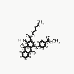 CCCCCOC(=O)c1cc(Sc2ccc(C(=O)OC)cc2)c2c(c1N)C(=O)c1ccccc1C2=O